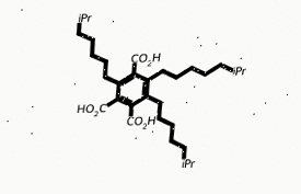 CC(C)CCCCCc1c(CCCCCC(C)C)c(C(=O)O)c(C(=O)O)c(CCCCCC(C)C)c1C(=O)O